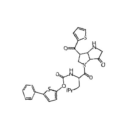 CC(C)CC(NC(=O)Oc1ccc(-c2ccccc2)s1)C(=O)N1CC(C(=O)c2cccs2)C2NCC(=O)C21